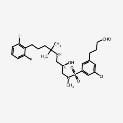 CN(C[C@H](O)CNC(C)(C)CCCc1c(F)cccc1F)S(=O)(=O)c1cc(Cl)cc(CCCC=O)c1